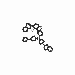 c1ccc(-c2ccc(N(c3ccc(-c4ccc5ccccc5c4)cc3)c3ccc4sc5ccc6c7ccc8ccccc8c7oc6c5c4c3)cc2)cc1